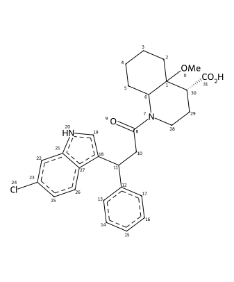 COC12CCCCC1N(C(=O)CC(c1ccccc1)c1c[nH]c3cc(Cl)ccc13)CC[C@H]2C(=O)O